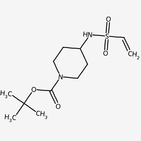 C=CS(=O)(=O)NC1CCN(C(=O)OC(C)(C)C)CC1